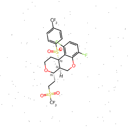 O=S(=O)(CC[C@@H]1OCC[C@@]2(S(=O)(=O)c3ccc(C(F)(F)F)cc3)c3c(F)ccc(F)c3OC[C@@H]12)C(F)(F)F